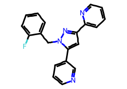 Fc1ccccc1Cn1nc(-c2ccccn2)cc1-c1cccnc1